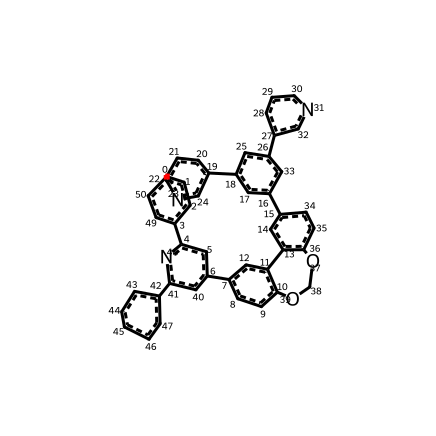 c1ccc(-c2cc(-c3ccc4c(c3)-c3cc(-c5cc(-c6cccnc6)cc(-c6cccnc6)c5)ccc3OCO4)cc(-c3ccccc3)n2)cc1